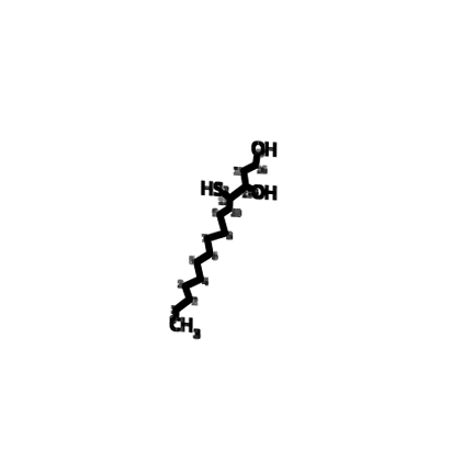 CCCCCCCCCCCC(S)C(O)CCO